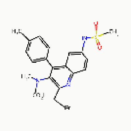 Cc1ccc(-c2c(N(C)C(=O)O)c(CC(C)C)nc3ccc(NS(C)(=O)=O)cc23)cc1